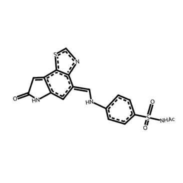 CC(=O)NS(=O)(=O)c1ccc(NC=c2cc3c(c4scnc24)=CC(=O)N3)cc1